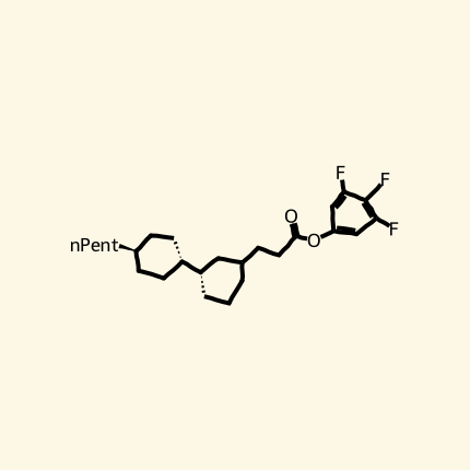 CCCCC[C@H]1CC[C@H]([C@H]2CCCC(CCC(=O)Oc3cc(F)c(F)c(F)c3)C2)CC1